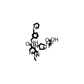 CCn1ncc2c(NC3CCOCC3)c(C(=O)NCc3cccc(CN4CCCC4)c3)cnc21.O=C(O)C(F)(F)F